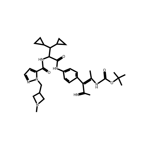 CC(=N)/C(=C(/C)NC(=O)OC(C)(C)C)c1ccc(NC(=O)C(NC(=O)c2ccnn2CC2CN(C)C2)C(C2CC2)C2CC2)cc1